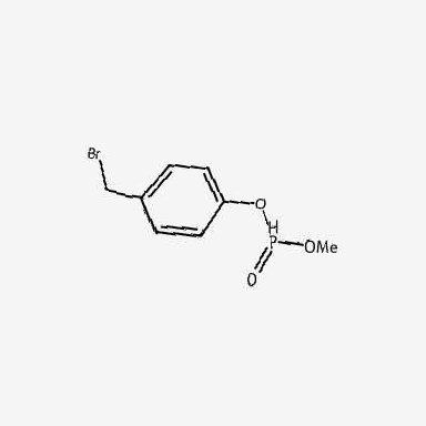 CO[PH](=O)Oc1ccc(CBr)cc1